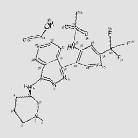 CN1CCC[C@@H](Nc2nnc(-c3ccc(C(F)(F)F)cc3NS(C)(=O)=O)c3ccccc23)C1.O=CO